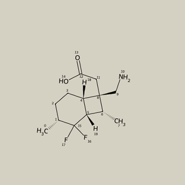 C[C@@H]1CC[C@H]2[C@H]([C@@H](C)[C@@]2(CN)CC(=O)O)C1(F)F